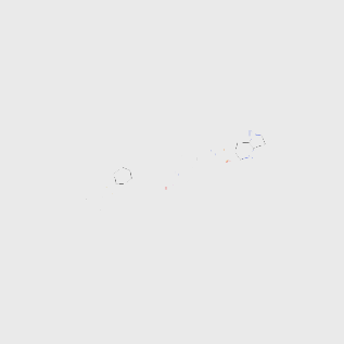 CC(C)S(=O)(=O)c1cccc(OCC(O)CNC2COC3(CCN(S(=O)(=O)c4cnc5cc[nH]c5c4)CC3)C2)c1